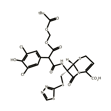 CC(C)(C)C(=O)OCOC(=O)C(C(=O)N[C@]1(CSc2nncs2)C(=O)N2C(C(=O)O)=CCS[C@H]21)c1cc(Cl)c(O)c(Cl)c1